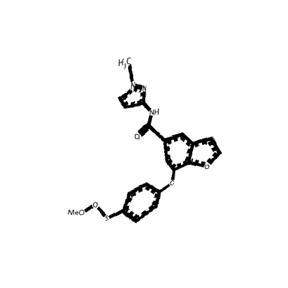 COOSc1ccc(Oc2cc(C(=O)Nc3ccn(C)n3)cc3ccoc23)cc1